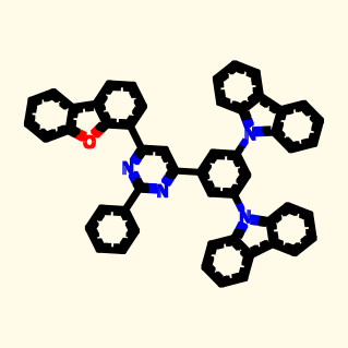 c1ccc(-c2nc(-c3cc(-n4c5ccccc5c5ccccc54)cc(-n4c5ccccc5c5ccccc54)c3)cc(-c3cccc4c3oc3ccccc34)n2)cc1